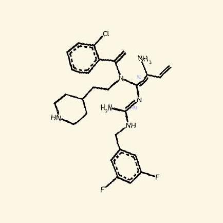 C=C/C(N)=C(\N=C(/N)NCc1cc(F)cc(F)c1)N(CCC1CCNCC1)C(=C)c1ccccc1Cl